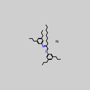 CCCCCCCCC(C=Nc1cc(CCC)cc(CCC)c1)=Nc1cc(CCC)cc(CCC)c1.[Ni]